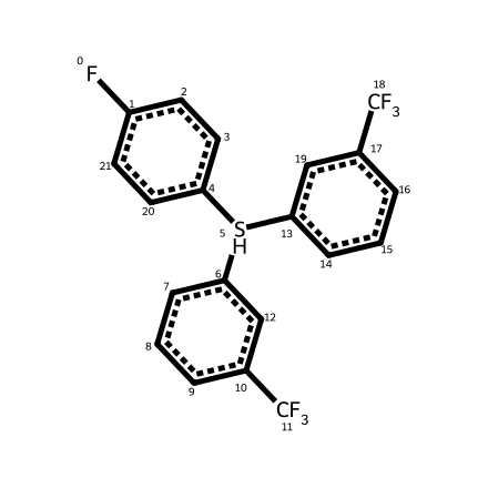 Fc1ccc([SH](c2cccc(C(F)(F)F)c2)c2cccc(C(F)(F)F)c2)cc1